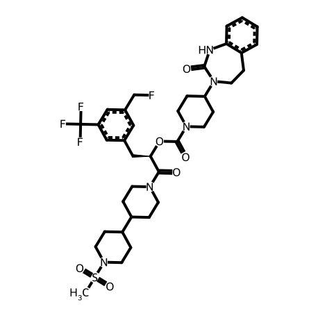 CS(=O)(=O)N1CCC(C2CCN(C(=O)[C@@H](Cc3cc(CF)cc(C(F)(F)F)c3)OC(=O)N3CCC(N4CCc5ccccc5NC4=O)CC3)CC2)CC1